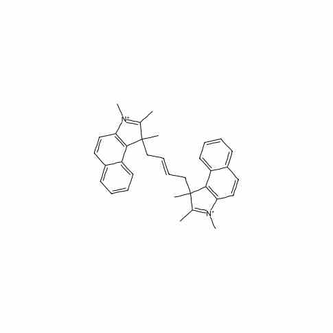 CC1=[N+](C)c2ccc3ccccc3c2C1(C)CC=CCC1(C)C(C)=[N+](C)c2ccc3ccccc3c21